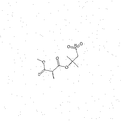 COC(=O)C(C)C(=O)OC(C)(C)C[SH](=O)=O